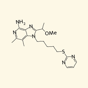 COC(C)c1nc2c(N)nc(C)c(C)c2n1CCCCCSc1ncccn1